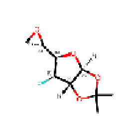 CC1(C)O[C@@H]2O[C@H]([C@@H]3CO3)[C@H](F)[C@H]2O1